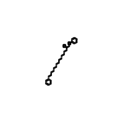 O=C(CCCCCCCCCCCCCCc1ccccc1)COc1ccccc1